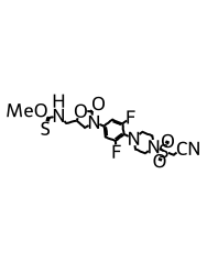 COC(=S)NCC1CN(c2cc(F)c(N3CCN(S(=O)(=O)CC#N)CC3)c(F)c2)C(=O)O1